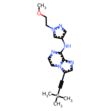 COCCn1cc(Nc2nccn3c(C#C[Si](C)(C)C)cnc23)cn1